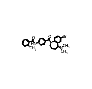 Cc1ccccc1C(=O)Nc1ccc(C(=O)N2CCCC(N(C)C)c3cc(Br)ccc32)cc1